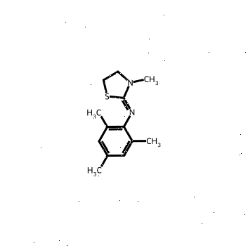 Cc1cc(C)c(N=C2SCCN2C)c(C)c1